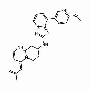 C=C(C)/C=C(\N=C/N)N1CCC(Nc2nc3c(-c4ccc(OC)nc4)cccn3n2)CC1